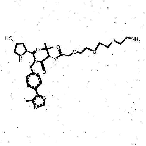 Cc1ncsc1-c1ccc(CN(C(=O)[C@@H]2C[C@@H](O)CN2)C(=O)[C@@H](NC(=O)COCCOCCOCCN)C(C)(C)C)cc1